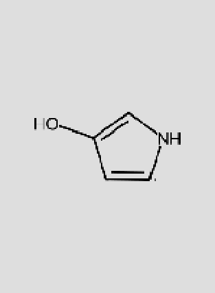 Oc1c[c][nH]c1